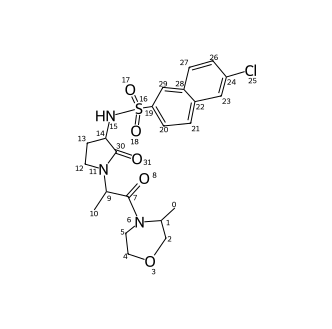 CC1COCCN1C(=O)C(C)N1CCC(NS(=O)(=O)c2ccc3cc(Cl)ccc3c2)C1=O